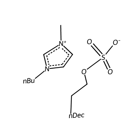 CCCCCCCCCCCCOS(=O)(=O)[O-].CCCCn1cc[n+](C)c1